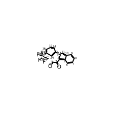 O=CC(=O)c1c2ccccc2cn1-c1cccc(S(F)(F)(F)(F)F)c1